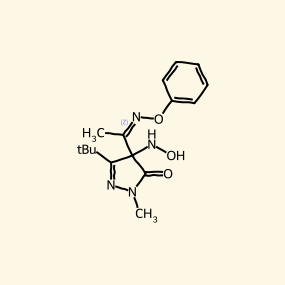 C/C(=N/Oc1ccccc1)C1(NO)C(=O)N(C)N=C1C(C)(C)C